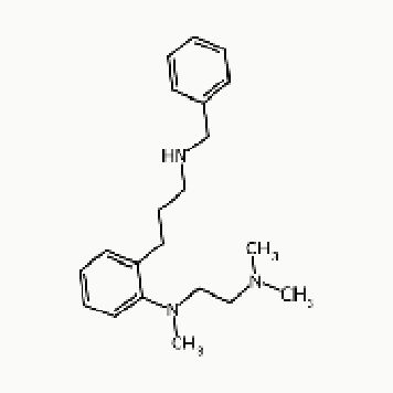 CN(C)CCN(C)c1ccccc1CCCNCc1ccccc1